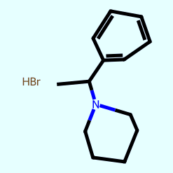 Br.CC(c1ccccc1)N1CCCCC1